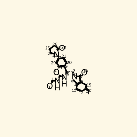 O=CNC(=O)N[C@@H](CN1Cc2ccc(F)cc2C1=O)c1ccc(N2CCCC2=O)cc1